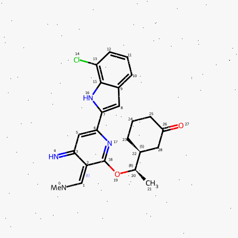 CN/C=C1\C(=N)C=C(c2cc3cccc(Cl)c3[nH]2)N=C1O[C@H](C)[C@H]1CCCC(=O)C1